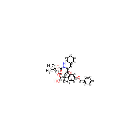 CC(C)(C)OC(=O)N[C@@H](CC1CCCCC1)[C@@H](O)C[C@@](C)(C(=O)O)c1ccc(OCc2ccccc2)cc1